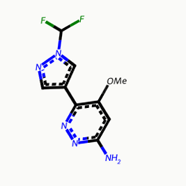 COc1cc(N)nnc1-c1cnn(C(F)F)c1